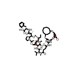 CC[C@H](C)[C@@H]([C@@H](CC(=O)N1CCC[C@H]1[C@H](OC)[C@@H](C)C(=O)N[C@@H](Cc1ccccc1)C(=O)O)OC)N(C)C(=O)[C@@H](NC(=O)[C@H](C(C)C)N(C)C(=O)CCC(=O)Nc1nc2nc(n1)N1C(=O)CC(SC3CCCCCC(CC3)S2)C1=O)C(C)C